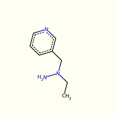 CCN(N)Cc1cccnc1